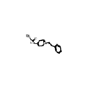 O=C(CS)NC1CCN(CCc2ccccc2)CC1